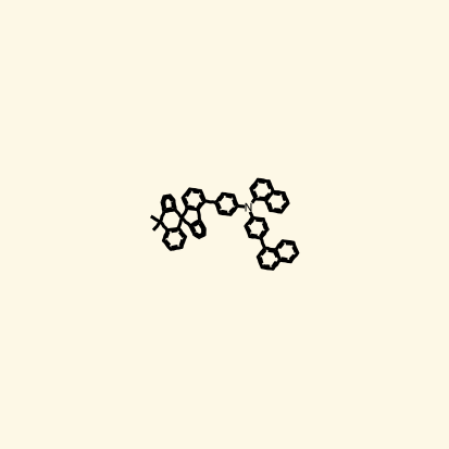 CC1(C)c2ccccc2C2(c3ccccc3-c3c(-c4ccc(N(c5ccc(-c6cccc7ccccc67)cc5)c5cccc6ccccc56)cc4)cccc32)c2ccccc21